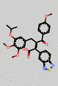 COc1ccc(C(=O)C(Cc2cc(OC)c(OC)c(OC(C)C)c2)=C(C(=O)O)c2ccc3nsnc3c2)cc1